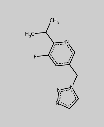 CC(C)c1ncc(Cn2ccnn2)cc1F